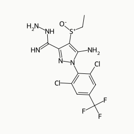 CC[S+]([O-])c1c(C(=N)NN)nn(-c2c(Cl)cc(C(F)(F)F)cc2Cl)c1N